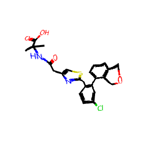 CC(C)(NC(=O)Cc1csc(-c2ccc(Cl)cc2-c2cccc3c2COC3)n1)C(=O)O